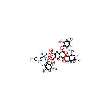 O=C(OCC(F)(F)S(=O)(=O)O)c1cc(C(=O)Oc2c(I)cc(I)cc2I)c(C(=O)Oc2c(I)cc(I)cc2I)cc1C(=O)Oc1c(I)cc(I)cc1I